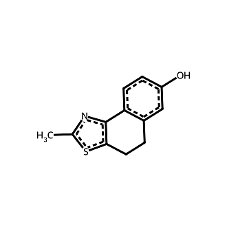 Cc1nc2c(s1)CCc1cc(O)ccc1-2